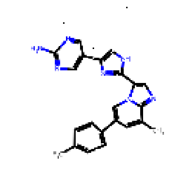 Cc1cc(-c2ccc(C(F)(F)F)cc2)cn2c(-c3nc(-c4cnc(N)nc4)c[nH]3)cnc12